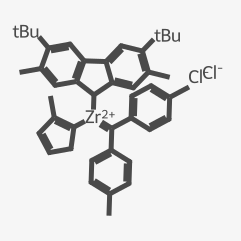 CC1=[C]([Zr+2](=[C](c2ccc(C)cc2)c2ccc(C)cc2)[CH]2c3cc(C)c(C(C)(C)C)cc3-c3cc(C(C)(C)C)c(C)cc32)CC=C1.[Cl-].[Cl-]